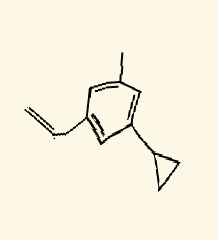 C=[C]c1cc(C)cc(C2CC2)c1